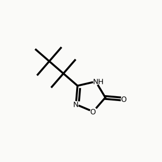 CC(C)(C)C(C)(C)c1noc(=O)[nH]1